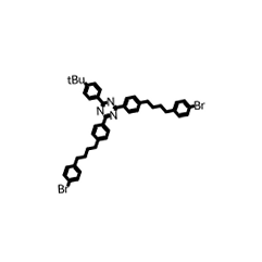 CC(C)(C)c1ccc(-c2nc(-c3ccc(CCCCc4ccc(Br)cc4)cc3)nc(-c3ccc(CCCCc4ccc(Br)cc4)cc3)n2)cc1